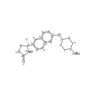 CCCCC1CCC(Oc2ccc3cc([C@]4(C)COC(=O)N4)ccc3c2)CC1